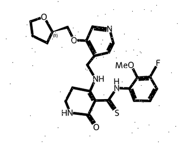 COc1c(F)cccc1NC(=S)C1=C(NCc2ccncc2OC[C@H]2CCCO2)CCNC1=O